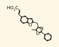 Cc1oc(-c2ccccc2)nc1Cc1cc2cc(C=CC(=O)O)ccc2o1